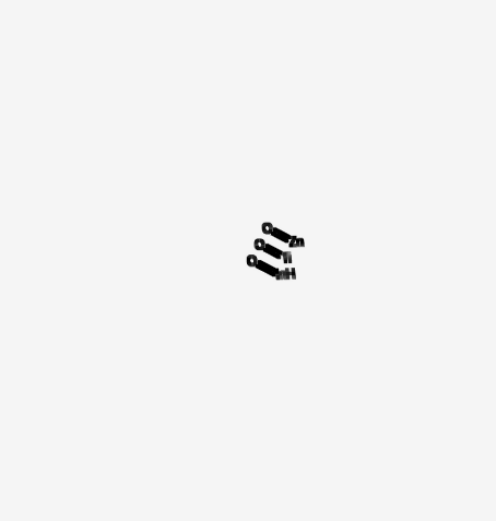 [O]=[InH].[O]=[Ti].[O]=[Zn]